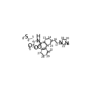 COC(=O)[C@H](CCSC)NC(=O)c1ccc(C=Cn2ccnc2)cc1-c1ccccc1C